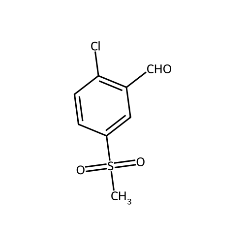 CS(=O)(=O)c1ccc(Cl)c(C=O)c1